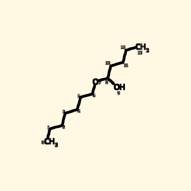 CCCCCCCOC(O)CCCC